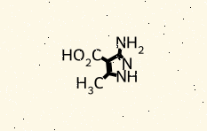 Cc1[nH]nc(N)c1C(=O)O